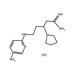 Cl.N=C(N)CC(CCNc1ccc([N+](=O)[O-])cn1)N1CCCC1